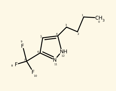 CCCCc1[c]c(C(F)(F)F)n[nH]1